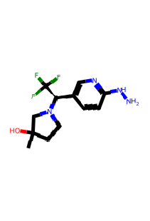 CC1(O)CCN([C@H](c2ccc(NN)nc2)C(F)(F)F)C1